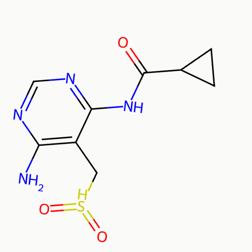 Nc1ncnc(NC(=O)C2CC2)c1C[SH](=O)=O